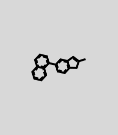 CC1=Cc2cc(-c3cccc4ccccc34)ccc2[CH]1